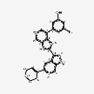 Oc1cc(F)cc(-c2cncc3[nH]c(-c4n[nH]c5cnc(C6=CCNCC6)cc45)nc23)c1